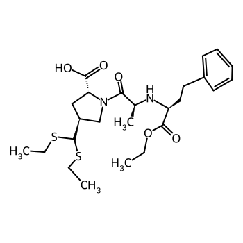 CCOC(=O)[C@H](CCc1ccccc1)N[C@@H](C)C(=O)N1C[C@@H](C(SCC)SCC)C[C@@H]1C(=O)O